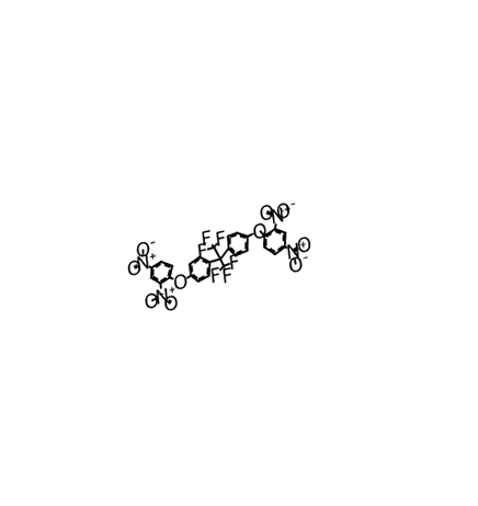 O=[N+]([O-])c1ccc(Oc2ccc(C(c3ccc(Oc4ccc([N+](=O)[O-])cc4[N+](=O)[O-])cc3)(C(F)(F)F)C(F)(F)F)cc2)c([N+](=O)[O-])c1